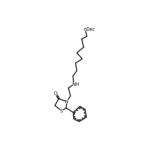 CCCCCCCCCCCCCCCCCCNCCN1C(=O)CSC1c1ccccc1